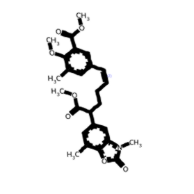 COC(=O)c1cc(/C=C\CCC(C(=O)OC)c2cc(C)c3oc(=O)n(C)c3c2)cc(C)c1OC